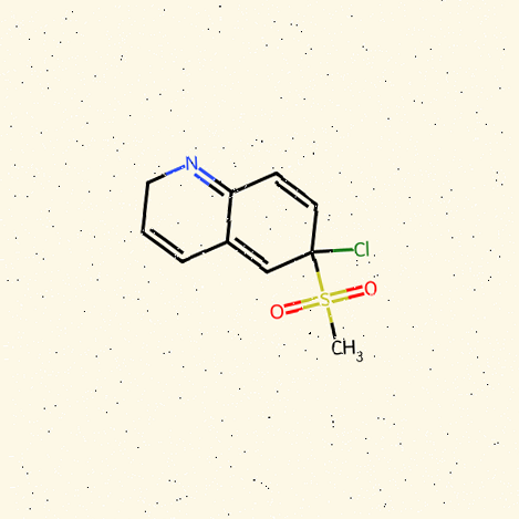 CS(=O)(=O)C1(Cl)C=CC2=NCC=CC2=C1